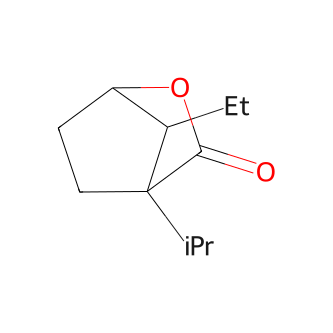 CCC1C2CCC1(C(C)C)C(=O)O2